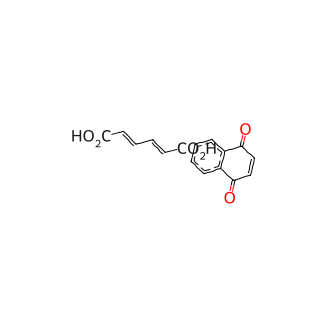 O=C(O)C=CC=CC(=O)O.O=C1C=CC(=O)c2ccccc21